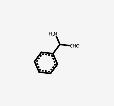 NC(C=O)c1c[c]ccc1